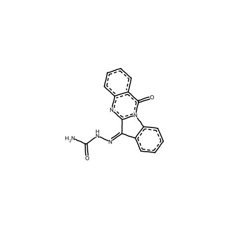 NC(=O)N/N=C1/c2ccccc2-n2c1nc1ccccc1c2=O